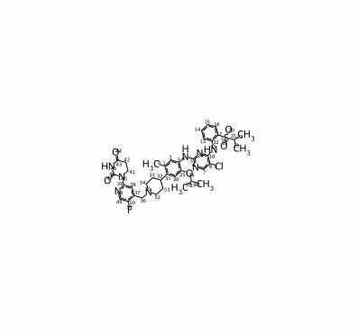 Cc1cc(Nc2ncc(Cl)c(Nc3ccccc3S(=O)(=O)C(C)C)n2)c(OC(C)C)cc1C1CCN(Cc2cc(N3CCC(=O)NC3=O)ncc2F)CC1